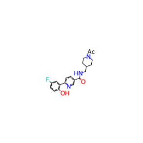 CC(=O)N1CCC(CNC(=O)c2ccc(-c3cc(F)ccc3O)nc2)CC1